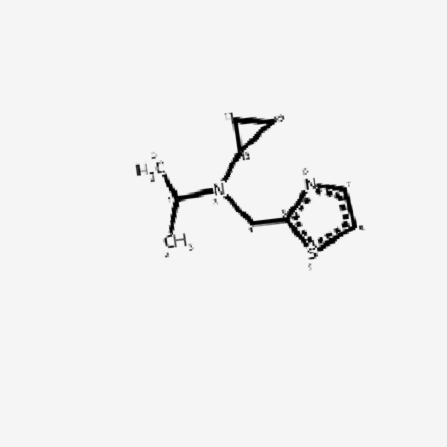 CC(C)N(Cc1nccs1)C1CC1